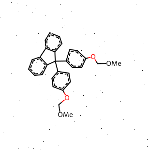 COCOc1ccc(C2(c3ccc(OCOC)cc3)c3ccccc3-c3ccccc32)cc1